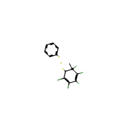 CC1(Cl)C(Cl)=C(Cl)C(Cl)=C(Cl)C1SSc1ccccc1